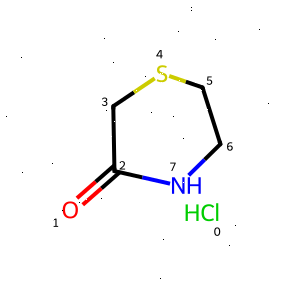 Cl.O=C1CSCCN1